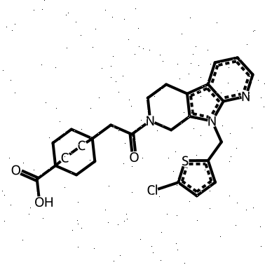 O=C(CC12CCC(C(=O)O)(CC1)CC2)N1CCc2c(n(Cc3ccc(Cl)s3)c3ncccc23)C1